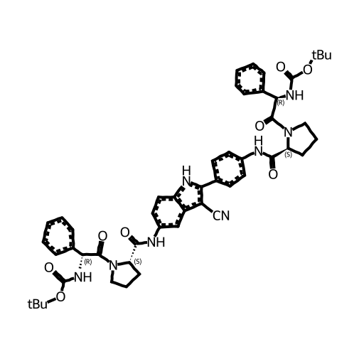 CC(C)(C)OC(=O)N[C@@H](C(=O)N1CCC[C@H]1C(=O)Nc1ccc(-c2[nH]c3ccc(NC(=O)[C@@H]4CCCN4C(=O)[C@H](NC(=O)OC(C)(C)C)c4ccccc4)cc3c2C#N)cc1)c1ccccc1